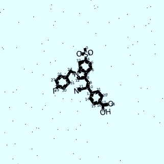 CS(=O)(=O)c1ccc2c(/C=C(\C#N)c3ccc(C(=O)O)cc3)cn(Cc3ccc(F)cc3)c2c1